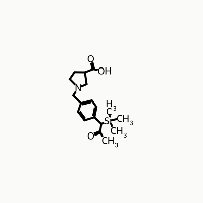 CC(=O)C(c1ccc(CN2CCC(C(=O)O)C2)cc1)[Si](C)(C)C